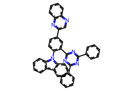 c1ccc(-c2nc(-c3ccccc3)nc(-c3cc(-c4cnc5ccccc5n4)ccc3-n3c4ccccc4c4ccccc43)n2)cc1